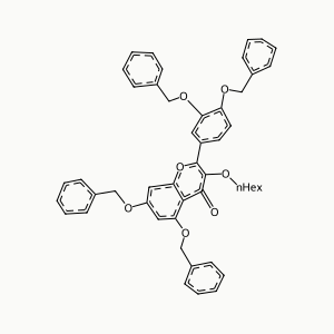 CCCCCCOc1c(-c2ccc(OCc3ccccc3)c(OCc3ccccc3)c2)oc2cc(OCc3ccccc3)cc(OCc3ccccc3)c2c1=O